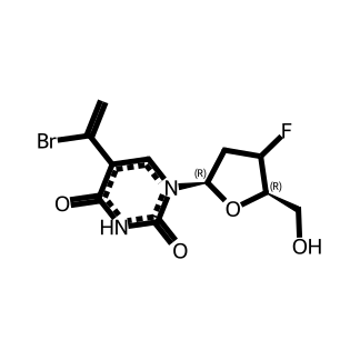 C=C(Br)c1cn([C@H]2CC(F)[C@@H](CO)O2)c(=O)[nH]c1=O